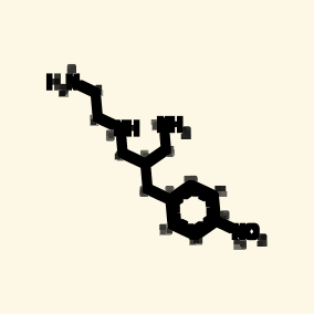 NCCNCC(CN)Cc1ccc([N+](=O)[O-])cc1